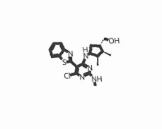 CNc1nc(Cl)c(-c2nc3ccccc3s2)c(NC2C[C@H](CO)[C@@H](C)[C@H]2C)n1